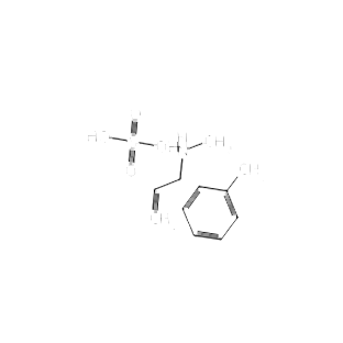 C=CCNC.Cc1ccccc1.O=S(=O)(O)O